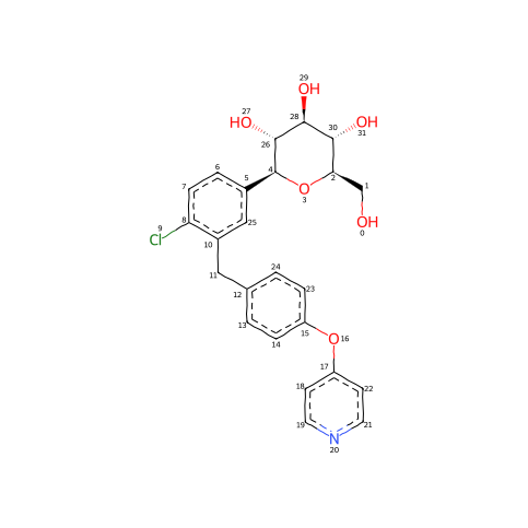 OC[C@H]1O[C@@H](c2ccc(Cl)c(Cc3ccc(Oc4ccncc4)cc3)c2)[C@H](O)[C@@H](O)[C@@H]1O